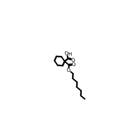 CCCCCCCOC(=O)C1(C(=O)O)CCCCC1